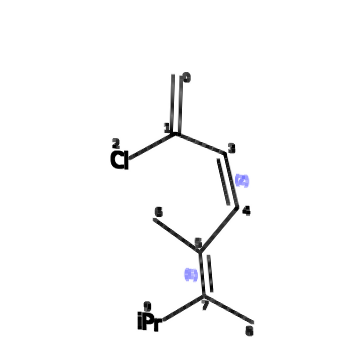 C=C(Cl)/C=C\C(C)=C(/C)C(C)C